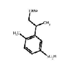 COCC(C)c1cc(S(=O)(=O)O)ccc1C